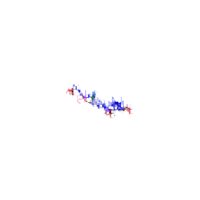 CN(CCNC(=O)c1ccc(N2CCN(CCn3c(=O)sc4c3nc(N)n3nc(-c5ccco5)cc43)CC2)c(F)c1)C1COC1